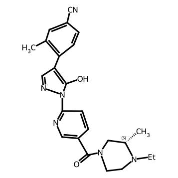 CCN1CCN(C(=O)c2ccc(-n3ncc(-c4ccc(C#N)cc4C)c3O)nc2)C[C@@H]1C